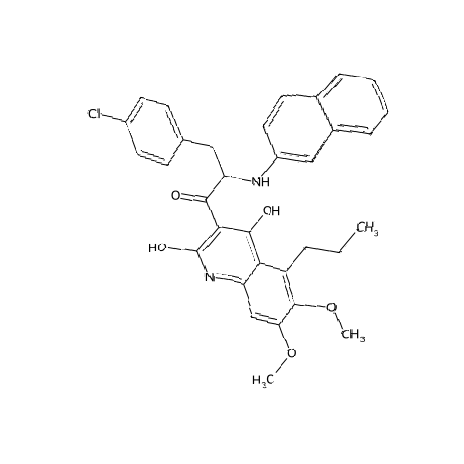 CCCc1c(OC)c(OC)cc2nc(O)c(C(=O)C(Cc3ccc(Cl)cc3)Nc3ccc4ccccc4c3)c(O)c12